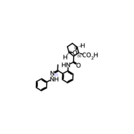 C/C(=N/Nc1ccccc1)c1ccccc1NC(=O)C1[C@H]2CC[C@H](O2)[C@H]1C(=O)O